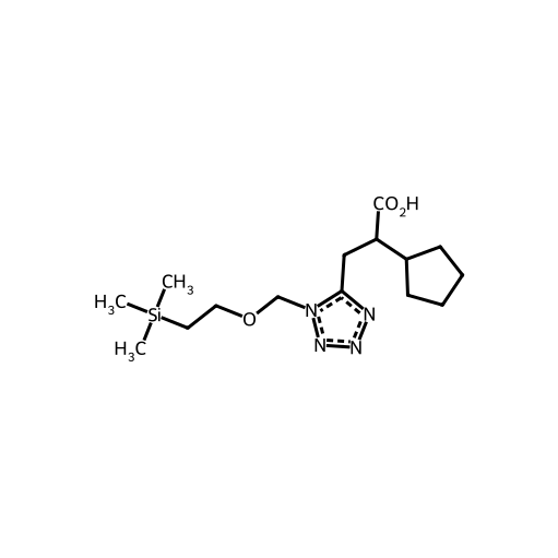 C[Si](C)(C)CCOCn1nnnc1CC(C(=O)O)C1CCCC1